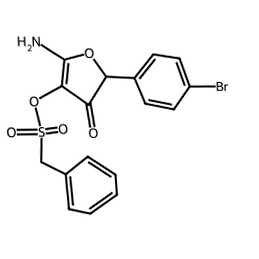 NC1=C(OS(=O)(=O)Cc2ccccc2)C(=O)C(c2ccc(Br)cc2)O1